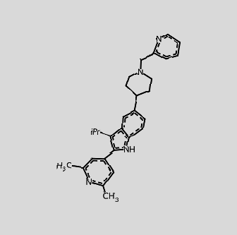 Cc1cc(-c2[nH]c3ccc(C4CCN(Cc5ccccn5)CC4)cc3c2C(C)C)cc(C)n1